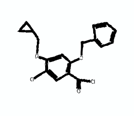 O=C(Cl)c1cc(Cl)c(OCC2CC2)cc1OCc1ccccc1